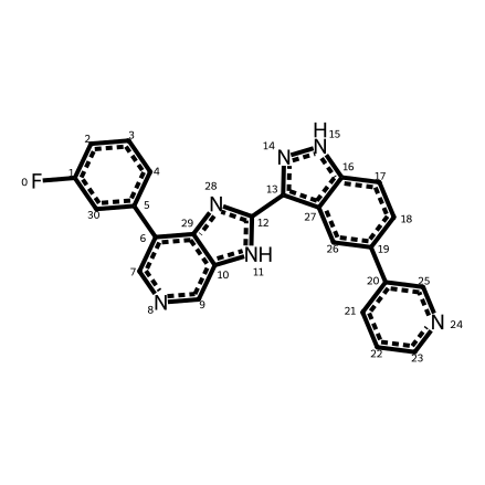 Fc1cccc(-c2cncc3[nH]c(-c4n[nH]c5ccc(-c6cccnc6)cc45)nc23)c1